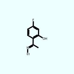 CC/N=C(\C)c1ccc(F)cc1O